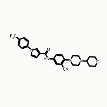 N#Cc1cc(NC(=O)c2ccn(-c3ccc(C(F)(F)F)cc3)c2)ccc1N1CCN(C2CCOCC2)CC1